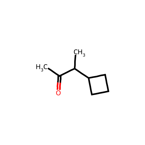 CC(=O)C(C)C1CCC1